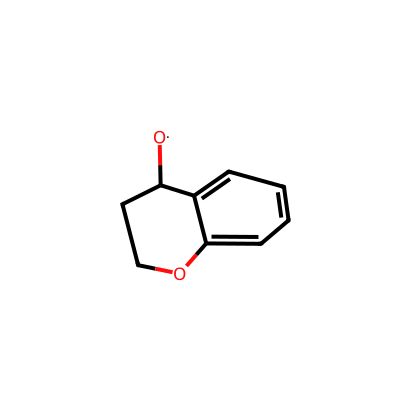 [O]C1CCOc2ccccc21